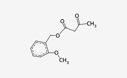 COc1ccccc1COC(=O)CC(C)=O